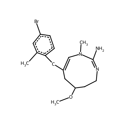 COC1CC/N=C(/N)N(C)/C=C(/Cc2ccc(Br)cc2C)C1